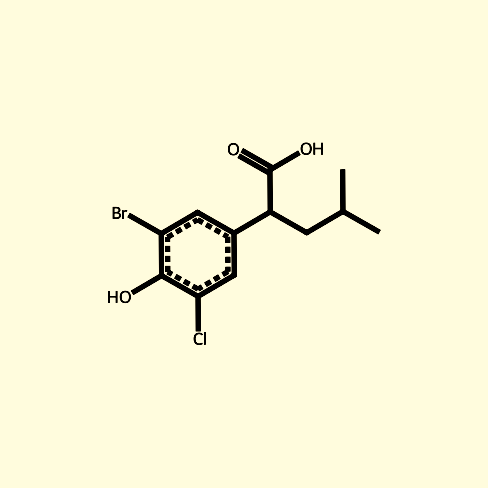 CC(C)CC(C(=O)O)c1cc(Cl)c(O)c(Br)c1